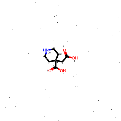 O=C(O)CC1(C(=O)O)CCNCC1